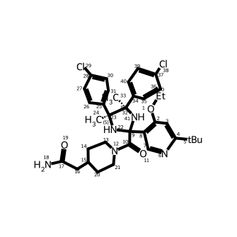 CCOc1cc(C(C)(C)C)ncc1C1(C(=O)N2CCC(CC(N)=O)CC2)N[C@@](C)(c2ccc(Cl)cc2)[C@@](C)(c2ccc(Cl)cc2)N1